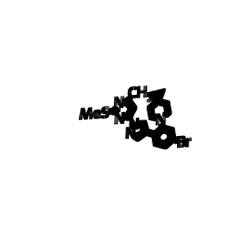 CSc1nc(C)cc(-n2cc(-c3ccc(Br)cc3N3CCC4(CC3)CC4)cn2)n1